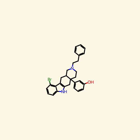 Oc1cccc(C23CCN(CCc4ccccc4)CC2Cc2c([nH]c4cccc(Br)c24)C3)c1